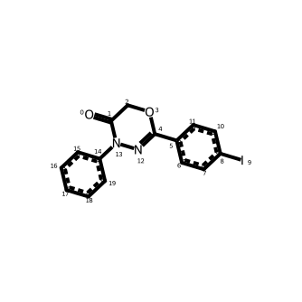 O=C1COC(c2ccc(I)cc2)=NN1c1ccccc1